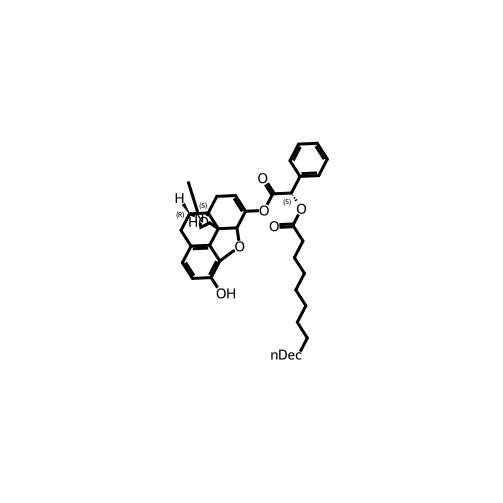 CCCCCCCCCCCCCCCCCC(=O)O[C@H](C(=O)OC1=CC[C@@]2(O)[C@H]3Cc4ccc(O)c5c4C2(CCN3C)C1O5)c1ccccc1